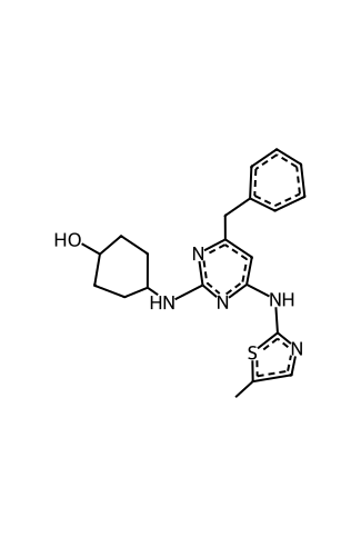 Cc1cnc(Nc2cc(Cc3ccccc3)nc(NC3CCC(O)CC3)n2)s1